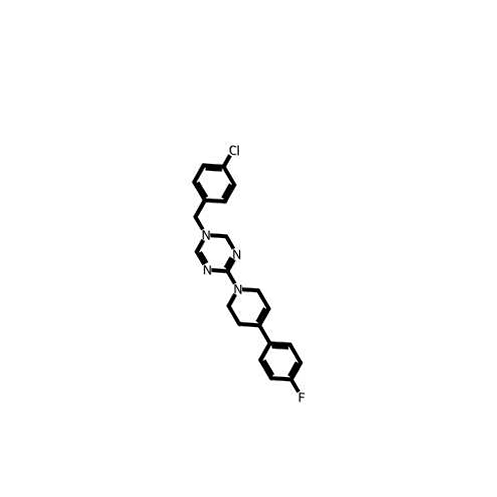 Fc1ccc(C2=CCN(C3=NCN(Cc4ccc(Cl)cc4)C=N3)CC2)cc1